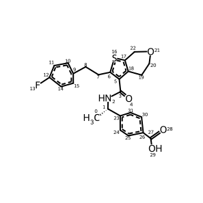 C[C@H](NC(=O)c1c(CCc2ccc(F)cc2)sc2c1CCOC2)c1ccc(C(=O)O)cc1